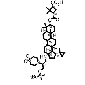 CC1([C@@H]2CC[C@]3(NC[C@@H](CO[Si](C)(C)C(C)(C)C)N4CCS(=O)(=O)CC4)CC[C@]4(C)[C@H](CC[C@@H]5[C@@]6(C)CC[C@H](OC(=O)[C@H]7C[C@@H](C(=O)O)C7(C)C)C(C)(C)[C@@H]6CC[C@]54C)[C@@H]23)CC1